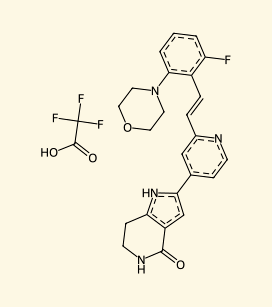 O=C(O)C(F)(F)F.O=C1NCCc2[nH]c(-c3ccnc(/C=C/c4c(F)cccc4N4CCOCC4)c3)cc21